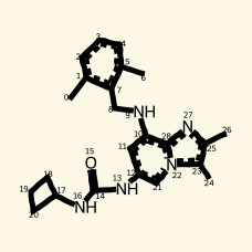 Cc1cccc(C)c1CNc1cc(NC(=O)NC2CCC2)cn2c(C)c(C)nc12